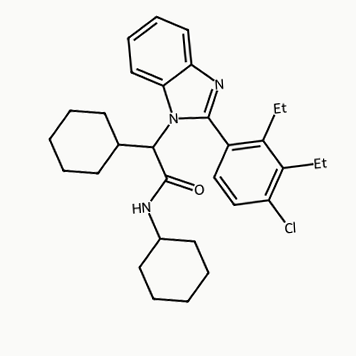 CCc1c(Cl)ccc(-c2nc3ccccc3n2C(C(=O)NC2CCCCC2)C2CCCCC2)c1CC